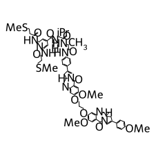 COc1ccc(C2=CN3C(=O)c4cc(OC)c(OCCCOc5cc6c(cc5OC)C(=O)N5C=C(c7ccc(NC(=O)[C@H](C)NC(=O)[C@@H](NC(=O)c8cc(NC(=O)CCSC)nc(NC(=O)CCSC)c8)C(C)C)cc7)C[C@H]5C=N6)cc4N=C[C@@H]3C2)cc1